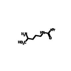 CCCC(=O)NCCCC(N)C(=O)O